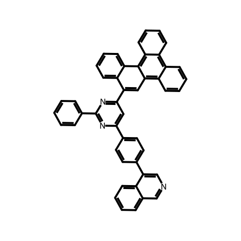 c1ccc(-c2nc(-c3ccc(-c4cncc5ccccc45)cc3)cc(-c3cc4c5ccccc5c5ccccc5c4c4ccccc34)n2)cc1